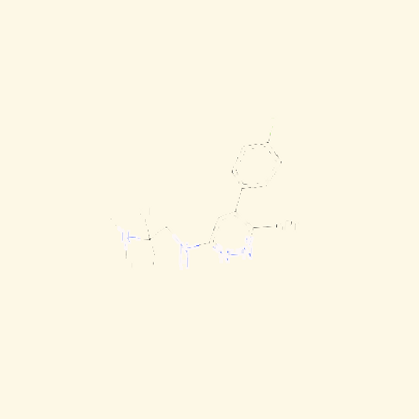 CCCc1nnc(NCC(C)(C)N(CC)CC)cc1-c1ccc(F)cc1